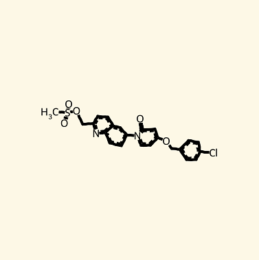 CS(=O)(=O)OCc1ccc2cc(-n3ccc(OCc4ccc(Cl)cc4)cc3=O)ccc2n1